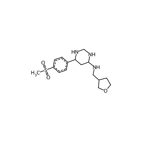 CS(=O)(=O)c1ccc(C2CC(NCC3CCOC3)NCN2)cc1